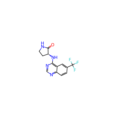 O=C1NCC[C@@H]1Nc1ncnc2ccc(C(F)(F)F)cc12